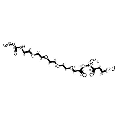 CN(OC(=O)COCCOCCOCCOCCNC(=O)OC(C)(C)C)C(=O)CCC=O